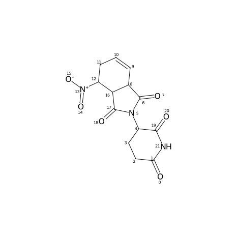 O=C1CCC(N2C(=O)C3C=CCC([N+](=O)[O-])C3C2=O)C(=O)N1